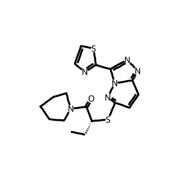 CC[C@@H](Sc1ccc2nnc(-c3nccs3)n2n1)C(=O)N1CCCCC1